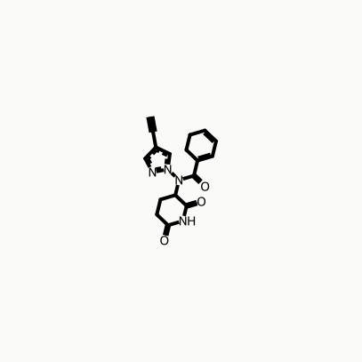 C#Cc1cnn(N(C(=O)C2=CC=CCC2)C2CCC(=O)NC2=O)c1